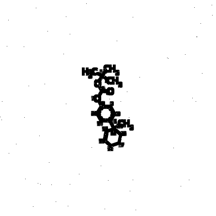 CC(C)(C)OC(=O)Oc1ccc(C2(C)C=CCCC2)cc1